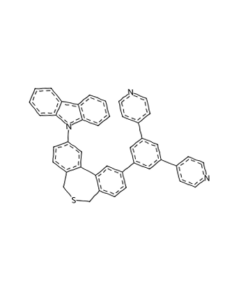 c1ccc2c(c1)c1ccccc1n2-c1ccc2c(c1)-c1cc(-c3cc(-c4ccncc4)cc(-c4ccncc4)c3)ccc1CSC2